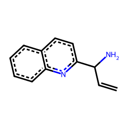 C=CC(N)c1ccc2ccccc2n1